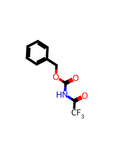 O=C(NC(=O)C(F)(F)F)OCc1ccccc1